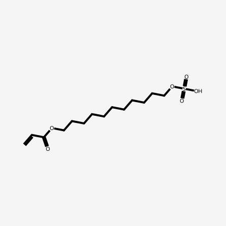 C=CC(=O)OCCCCCCCCCCCOS(=O)(=O)O